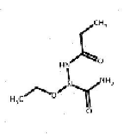 CCON(NC(=O)CC)C(N)=O